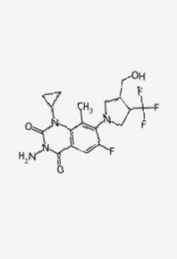 Cc1c(N2CC(CO)C(C(F)(F)F)C2)c(F)cc2c(=O)n(N)c(=O)n(C3CC3)c12